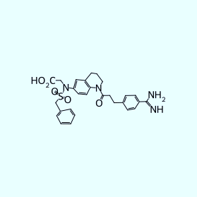 N=C(N)c1ccc(CCC(=O)N2CCCc3cc(N(CC(=O)O)S(=O)(=O)Cc4ccccc4)ccc32)cc1